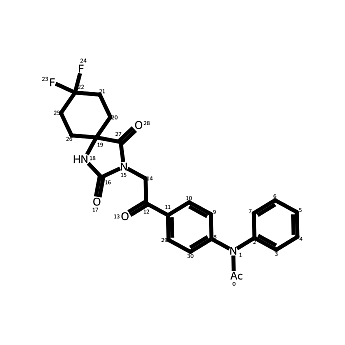 CC(=O)N(c1ccccc1)c1ccc(C(=O)CN2C(=O)NC3(CCC(F)(F)CC3)C2=O)cc1